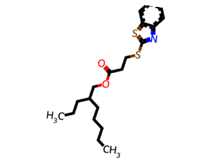 CCCCCC(CCC)COC(=O)CCSc1nc2ccccc2s1